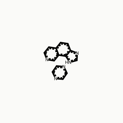 c1cc2ccc3nc[nH]c3c2cn1.c1cnccn1